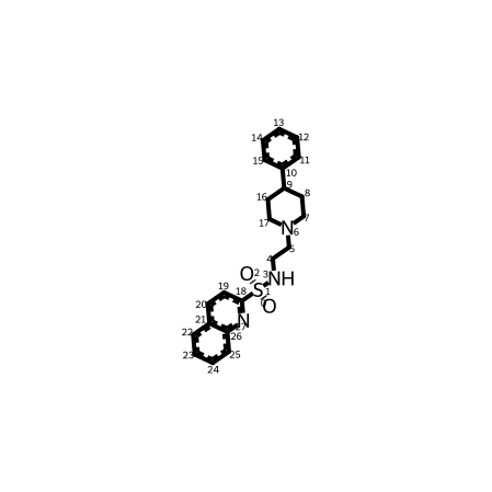 O=S(=O)(NCCN1CCC(c2ccccc2)CC1)c1ccc2ccccc2n1